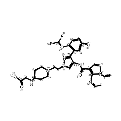 C=Cn1ncc(C(=O)Nc2cn(CCN3CCC(NCC(=O)O)CC3)nc2-c2cc(Cl)ccc2OC(F)F)c1/N=C\C